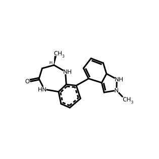 C[C@@H]1CC(=O)Nc2cccc(C3=CC=CC4NN(C)C=C34)c2N1